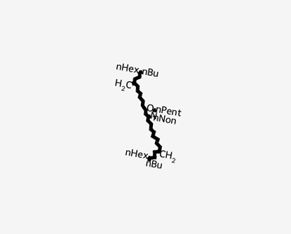 C=C(CCCCCCCCC(CCCCCCCCC(=C)CCC(CCCC)CCCCCC)N(CCCCCCCCC)C(=O)CCCCC)CCC(CCCC)CCCCCC